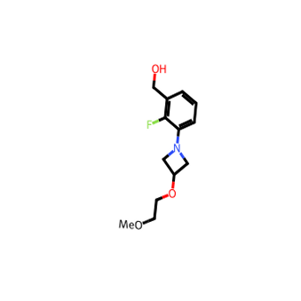 COCCOC1CN(c2cccc(CO)c2F)C1